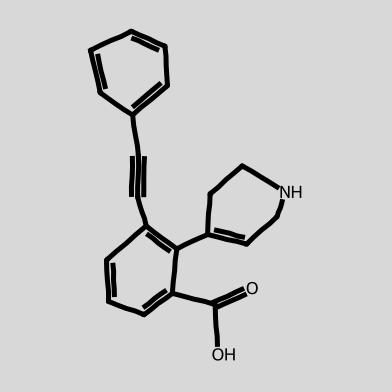 O=C(O)c1cccc(C#Cc2ccccc2)c1C1=CCNCC1